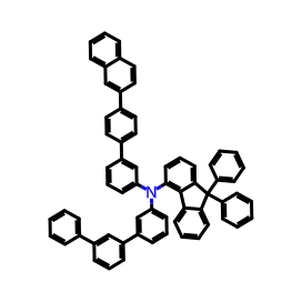 c1ccc(-c2cccc(-c3cccc(N(c4cccc(-c5ccc(-c6ccc7ccccc7c6)cc5)c4)c4cccc5c4-c4ccccc4C5(c4ccccc4)c4ccccc4)c3)c2)cc1